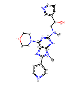 CCCN(CC(O)c1cccnc1)c1nc(N2CCOCC2)c2nc(-c3ccncc3)n(CC)c2n1